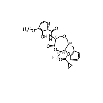 COc1ccnc(C(=O)N[C@H]2COC[C@H](Cc3ccccc3)[C@@H](OC(=O)C3CC3)[C@H](C)OC2=O)c1O